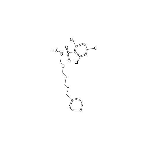 CN(COCCCOCc1ccccc1)S(=O)(=O)c1c(Cl)cc(Cl)cc1Cl